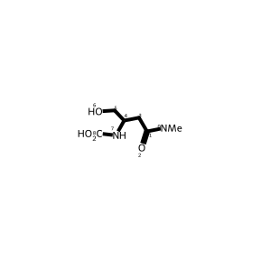 CNC(=O)CC(CO)NC(=O)O